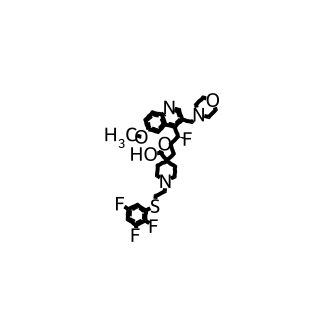 COc1ccc2ncc(CN3CCOCC3)c([C@H](F)CCC3(C(=O)O)CCN(CCSc4cc(F)cc(F)c4F)CC3)c2c1